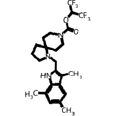 Cc1cc(C)c2[nH]c(CN3CCCC34CCN(C(=O)OC(C(F)(F)F)C(F)(F)F)CC4)c(C)c2c1